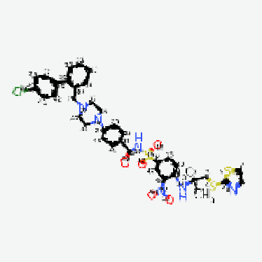 CC(C)(CSc1nccs1)Nc1ccc(S(=O)(=O)NC(=O)c2ccc(N3CCN(Cc4ccccc4-c4ccc(Cl)cc4)CC3)cc2)cc1[N+](=O)[O-]